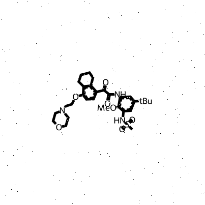 COc1c(NC(=O)C(=O)c2ccc(OCCN3CCOCC3)c3c2CCCC3)cc(C(C)(C)C)cc1NS(C)(=O)=O